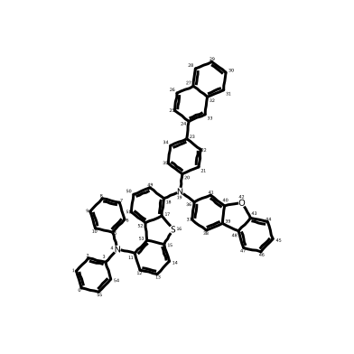 c1ccc(N(c2ccccc2)c2cccc3sc4c(N(c5ccc(-c6ccc7ccccc7c6)cc5)c5ccc6c(c5)oc5ccccc56)cccc4c23)cc1